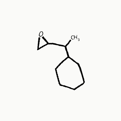 CC(C1CCCCC1)C1CO1